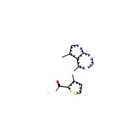 COC(=O)c1sccc1Nc1ncnc2[nH]cc(C)c12